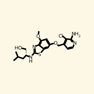 COc1cc(OCc2ccnc(N)c2Cl)cc2sc(N[C@@H](CO)CC(C)C)nc12